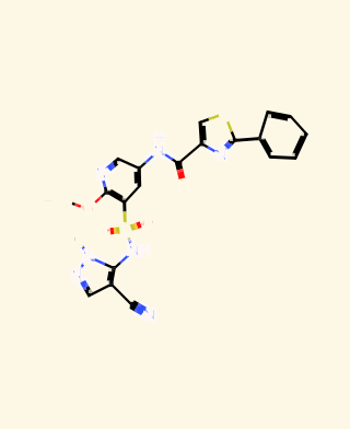 COc1ncc(NC(=O)c2csc(-c3ccccc3)n2)cc1S(=O)(=O)Nc1c(C#N)cnn1C